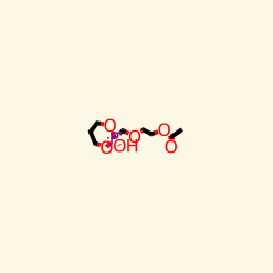 CC(=O)OCCOC[P]1(O)OCCCO1